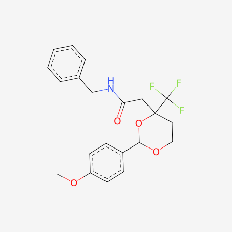 COc1ccc(C2OCCC(CC(=O)NCc3ccccc3)(C(F)(F)F)O2)cc1